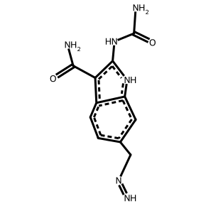 N=NCc1ccc2c(C(N)=O)c(NC(N)=O)[nH]c2c1